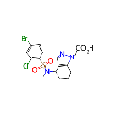 CN(C1CCCc2c1cnn2CC(=O)O)S(=O)(=O)c1ccc(Br)cc1Cl